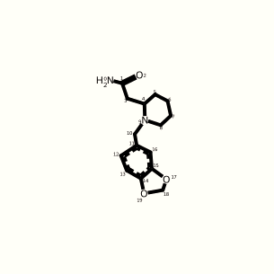 NC(=O)CC1CCCCN1Cc1ccc2c(c1)OCO2